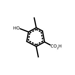 Cc1cc(C(=O)O)c(C)cc1O